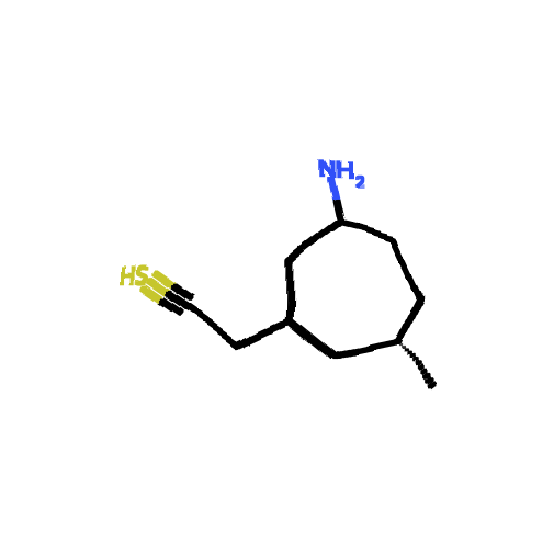 C[C@H]1CCC(N)CC(CC#[SH])C1